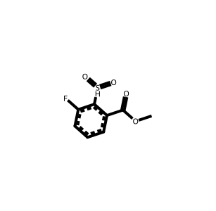 COC(=O)c1cccc(F)c1[SH](=O)=O